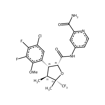 COc1c([C@@H]2[C@H](C(=O)Nc3ccnc(C(N)=O)c3)O[C@](C)(C(F)(F)F)[C@H]2C)cc(Cl)c(F)c1F